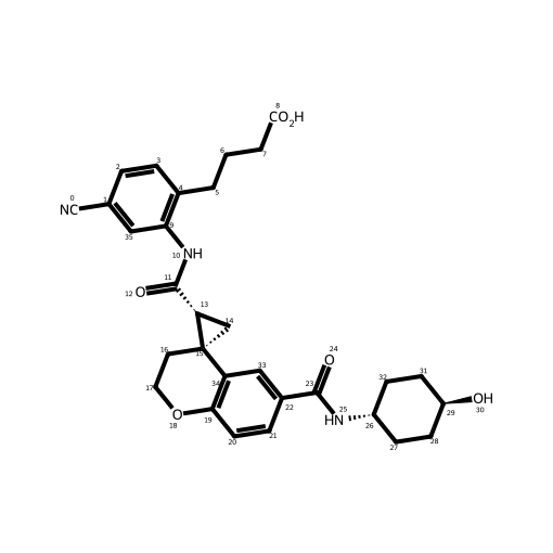 N#Cc1ccc(CCCC(=O)O)c(NC(=O)[C@@H]2C[C@]23CCOc2ccc(C(=O)N[C@H]4CC[C@H](O)CC4)cc23)c1